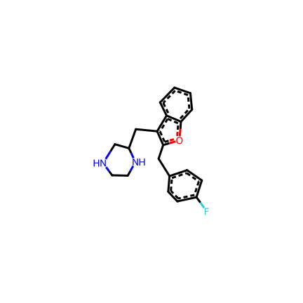 Fc1ccc(Cc2oc3ccccc3c2CC2CNCCN2)cc1